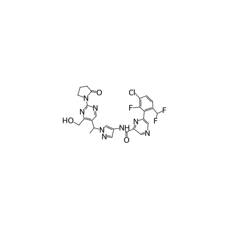 CC(c1cnc(N2CCCC2=O)nc1CO)n1cc(NC(=O)c2cncc(-c3c(C(F)F)ccc(Cl)c3F)n2)cn1